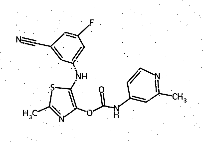 Cc1cc(NC(=O)Oc2nc(C)sc2Nc2cc(F)cc(C#N)c2)ccn1